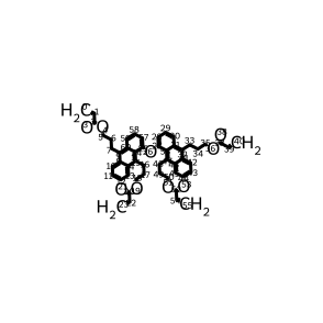 C=CC(=O)OCCCc1c2ccccc2c(CCCOC(=O)C=C)c2c(Oc3cccc4c(CCCOC(=O)C=C)c5ccccc5c(CCCOC(=O)C=C)c34)cccc12